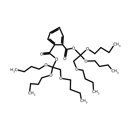 CCCCOCC(OCCCC)(OCCCC)OC(=O)c1ccccc1C(=O)OC(COCCCC)(OCCCC)OCCCC